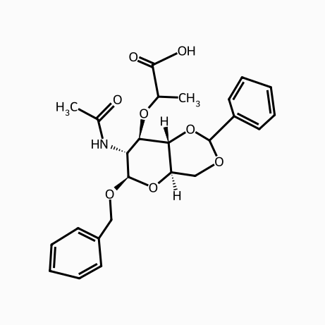 CC(=O)N[C@H]1[C@H](OCc2ccccc2)O[C@@H]2COC(c3ccccc3)O[C@H]2[C@@H]1OC(C)C(=O)O